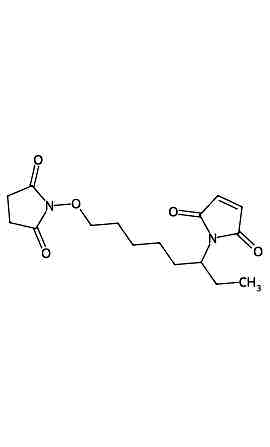 CCC(CCCCCON1C(=O)CCC1=O)N1C(=O)C=CC1=O